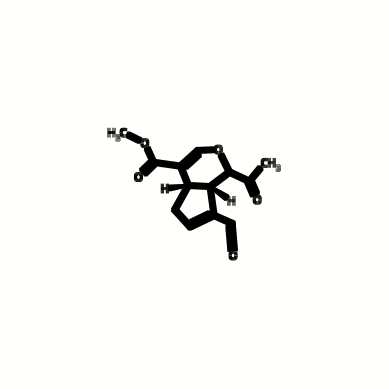 COC(=O)C1=COC(C(C)=O)[C@@H]2C(C=O)=CC[C@H]12